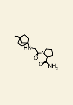 CC12CCC(NCC(=O)N3CCCC3C(N)=O)(CC1)C2